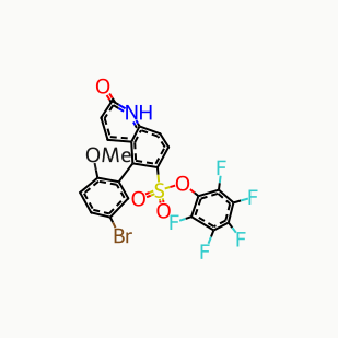 COc1ccc(Br)cc1-c1c(S(=O)(=O)Oc2c(F)c(F)c(F)c(F)c2F)ccc2[nH]c(=O)ccc12